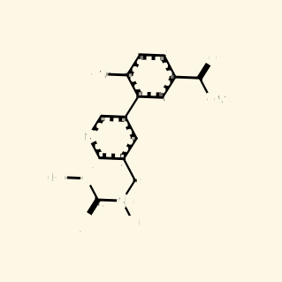 [C-]#[N+]c1ccc(C(=O)OC)cc1-c1cncc(CN(CC)C(=O)OC(C)(C)C)c1